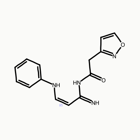 N=C(/C=C\Nc1ccccc1)NC(=O)Cc1ccon1